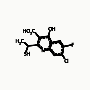 CC(S)c1nc2cc(Cl)c(F)cc2c(O)c1C(=O)O